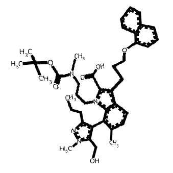 CCCc1nn(C)c(CO)c1-c1c(C)ccc2c(CCCOc3cccc4ccccc34)c(C(=O)O)n(CCCN(C)C(=O)OC(C)(C)C)c12